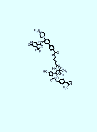 Cc1ncsc1-c1ccc(CNC(=O)[C@@H]2C[C@@H](O)CN2C(=O)[C@@H](NC(=O)CCCCNC(=O)c2ccc(-c3ccc(N4CCN(C)CC4)c(NC(=O)c4c[nH]c(=O)cc4C(F)(F)F)c3)cc2)C(C)(C)C)cc1